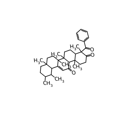 CC1CCC2(C)CCC3(C)C(=CC(=O)C4C5(C)CCC(=O)C(C)(C(=O)c6ccccc6)C5CCC43C)C2C1C